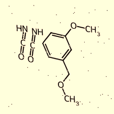 COCc1cccc(OC)c1.N=C=O.N=C=O